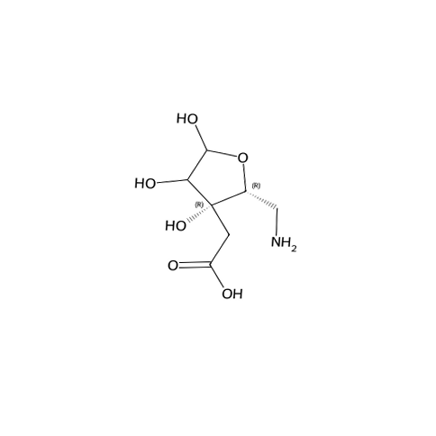 NC[C@H]1OC(O)C(O)[C@]1(O)CC(=O)O